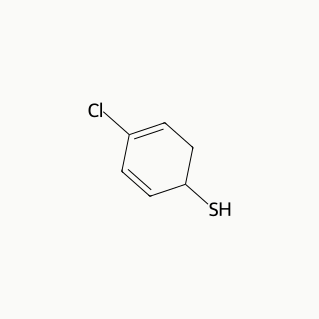 SC1C=CC(Cl)=CC1